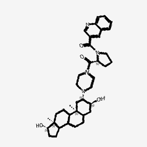 C[C@]12C[C@H](N3CCN(C(=O)[C@@H]4CCCN4C(=O)c4cnc5ccccc5c4)CC3)[C@@H](O)CC1CCC1C2CC[C@@]2(C)C1CC[C@@H]2O